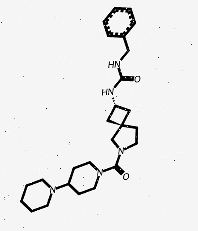 O=C(NCc1ccccc1)N[C@H]1C[C@]2(CCN(C(=O)N3CCC(N4CCCCC4)CC3)C2)C1